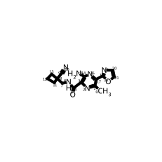 Cc1nc(C(=O)NCC2(C#N)CCC2)c(N)nc1-c1ncco1